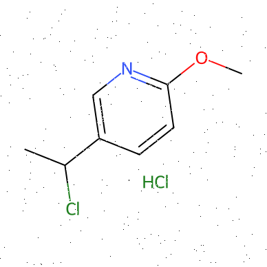 COc1ccc(C(C)Cl)cn1.Cl